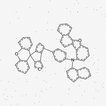 c1ccc2c(c1)Oc1ccccc1C21c2ccccc2-c2c(-c3ccc(N(c4cccc5ccccc45)c4cccc5oc6c7ccccc7ccc6c45)cc3)cccc21